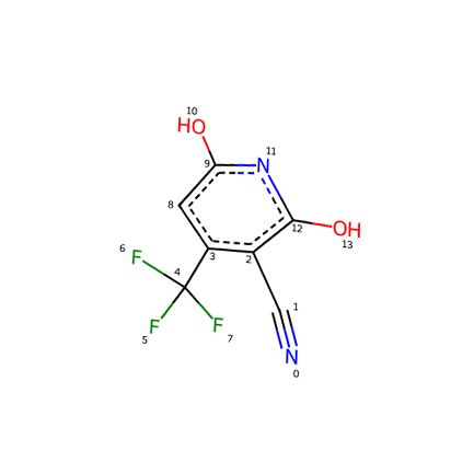 N#Cc1c(C(F)(F)F)cc(O)nc1O